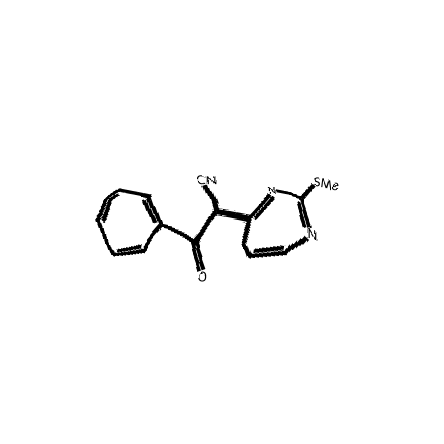 CSc1nccc(C(C#N)C(=O)c2ccccc2)n1